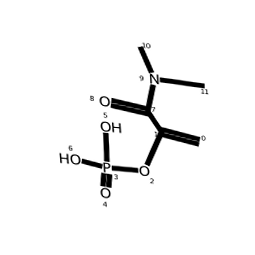 C=C(OP(=O)(O)O)C(=O)N(C)C